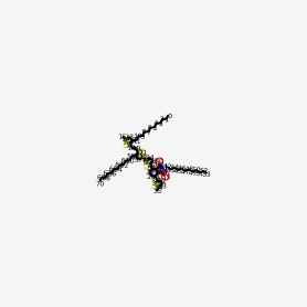 CCCCCCCCCCCCc1cc(C)sc1/C=C/c1sc(-c2ccc(-c3ccc(-c4ccc(C)s4)c4c3C(=O)N(CCCCCCCCCCCC)C4=O)s2)cc1CCCCCCCCCCCC